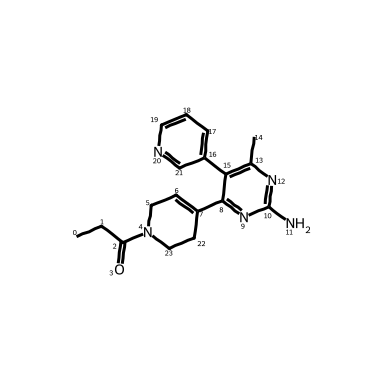 CCC(=O)N1CC=C(c2nc(N)nc(C)c2-c2cccnc2)CC1